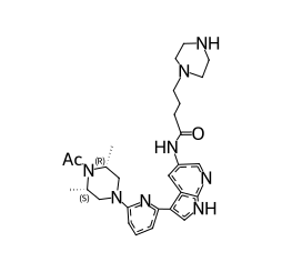 CC(=O)N1[C@H](C)CN(c2cccc(-c3c[nH]c4ncc(NC(=O)CCCN5CCNCC5)cc34)n2)C[C@@H]1C